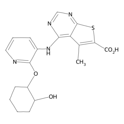 Cc1c(C(=O)O)sc2ncnc(Nc3cccnc3OC3CCCCC3O)c12